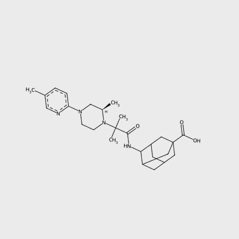 Cc1ccc(N2CCN(C(C)(C)C(=O)NC3C4CC5CC3CC(C(=O)O)(C5)C4)[C@H](C)C2)nc1